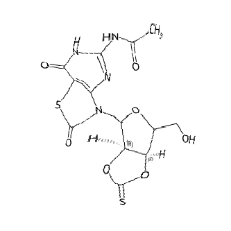 CC(=O)Nc1nc2c(sc(=O)n2C2OC(CO)[C@H]3OC(=S)O[C@@H]23)c(=O)[nH]1